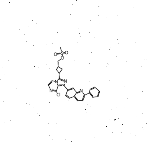 CS(=O)(=O)OC[C@H]1C[C@@H](c2nc(-c3ccc4ccc(-c5ccccc5)nc4c3)c3c(Cl)nccn32)C1